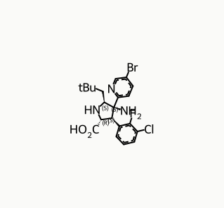 CC(C)(C)C[C@@H]1N[C@@H](C(=O)O)[C@H](c2cccc(Cl)c2F)[C@@]1(N)c1ccc(Br)cn1